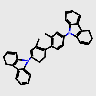 CC1=C(c2ccc(-n3c4c(c5ccccc53)CCC=C4)cc2C)CCC(n2c3c(c4ccccc42)CCC=C3)=C1